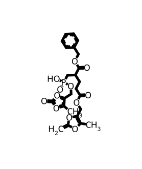 C=C1OC(C)=C(COC(=O)CCC(CP(=O)(O)OCc2oc(=O)oc2C)C(=O)OCc2ccccc2)O1